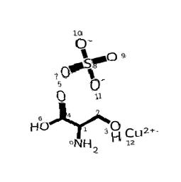 NC(CO)C(=O)O.O=S(=O)([O-])[O-].[Cu+2]